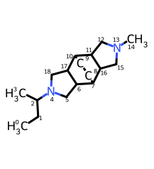 CCC(C)N1CC2C3CCC(C4CN(C)CC34)C2C1